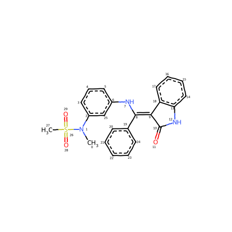 CN(c1cccc(NC(=C2C(=O)Nc3ccccc32)c2ccccc2)c1)S(C)(=O)=O